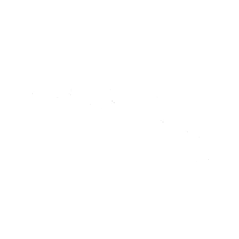 COC(=S)NC[C@H]1CN(c2ccc(N3CCN(C(=O)C4CC4)CC3)c(F)c2)C(=O)O1